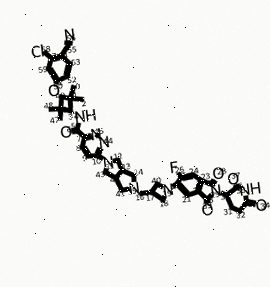 CC1(C)[C@H](NC(=O)c2ccc(N3CC4CN(CC5CN(c6cc7c(cc6F)C(=O)N(C6CCC(=O)NC6=O)C7=O)C5)CC4C3)nn2)C(C)(C)[C@H]1Oc1ccc(C#N)c(Cl)c1